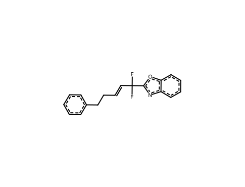 FC(F)(C=CCCc1ccccc1)c1nc2ccccc2o1